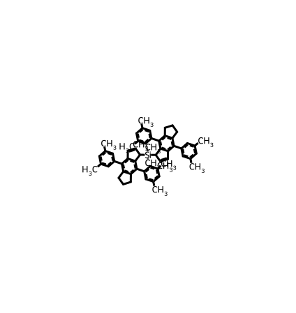 CC1=Cc2c(-c3cc(C)cc(C)c3)c3c(c(-c4cc(C)cc(C)c4)c2C1[Si](C)(C)C1C(C)=Cc2c(-c4cc(C)cc(C)c4)c4c(c(-c5cc(C)cc(C)c5)c21)CCC4)CCC3